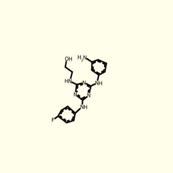 Nc1cccc(Nc2nc(NCCO)nc(Nc3ccc(F)cc3)n2)c1